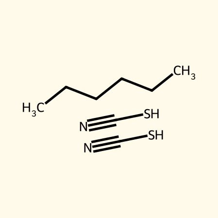 CCCCCC.N#CS.N#CS